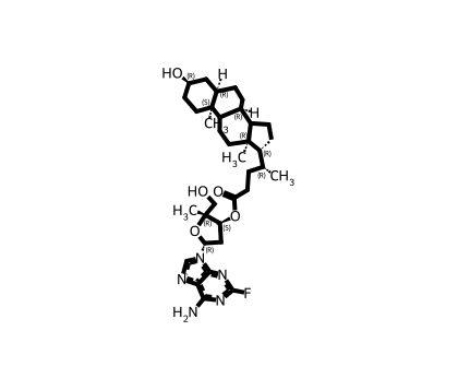 C[C@H](CCC(=O)O[C@H]1C[C@H](n2cnc3c(N)nc(F)nc32)O[C@]1(C)CO)[C@H]1CCC2[C@@H]3CC[C@@H]4C[C@H](O)CC[C@]4(C)C3CC[C@@]21C